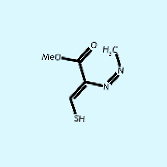 C/N=N\C(=C/S)C(=O)OC